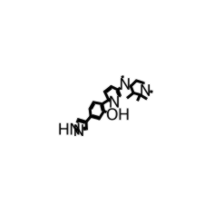 CC1C(N(C)c2ccc(-c3ccc(-c4cn[nH]c4)cc3O)nc2)CCN(C)C1(C)C